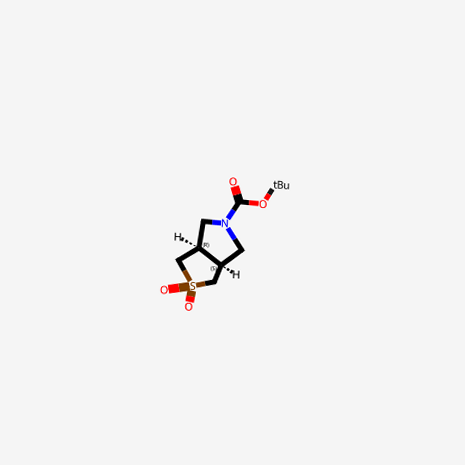 CC(C)(C)OC(=O)N1C[C@@H]2CS(=O)(=O)C[C@@H]2C1